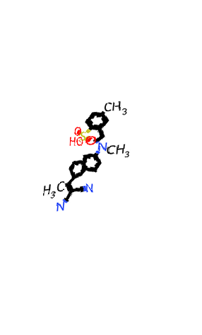 CC(=C(C#N)C#N)c1ccc2cc(N(C)CCc3cc(C)ccc3S(=O)(=O)O)ccc2c1